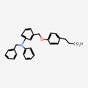 O=C(O)CCc1ccc(OCc2cccc(N(Cc3ccccc3)c3ccccc3)c2)cc1